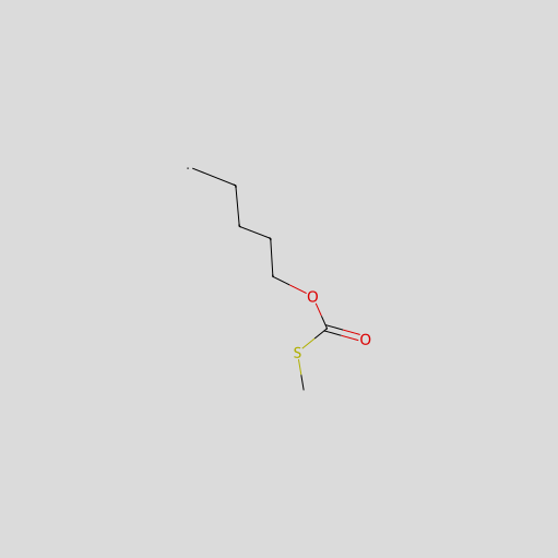 [CH2]CCCCOC(=O)SC